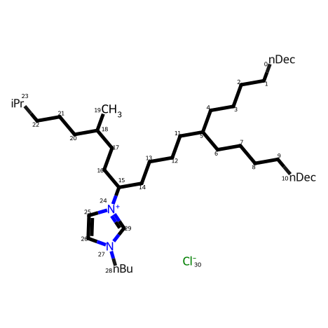 CCCCCCCCCCCCCCC(CCCCCCCCCCCCCC)CCCCC(CCC(C)CCCC(C)C)[n+]1ccn(CCCC)c1.[Cl-]